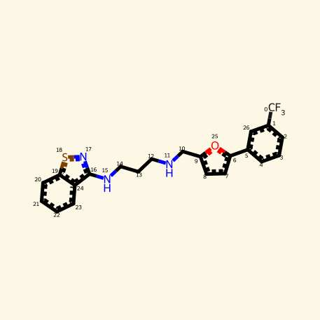 FC(F)(F)c1cccc(-c2ccc(CNCCCNc3nsc4ccccc34)o2)c1